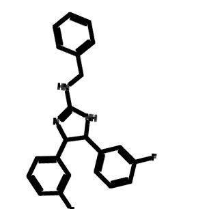 Fc1cccc(C2N=C(NCc3ccccc3)NC2c2cccc(F)c2)c1